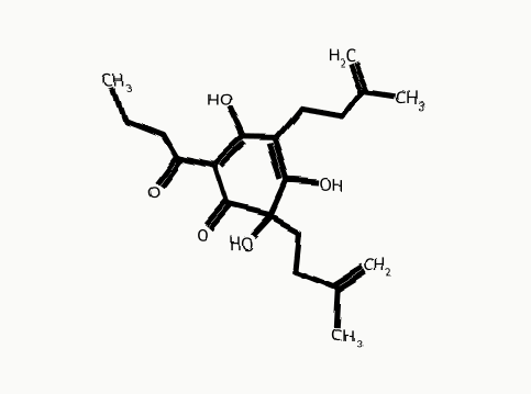 C=C(C)CCC1=C(O)C(O)(CCC(=C)C)C(=O)C(C(=O)CCC)=C1O